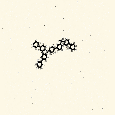 CC1(C)c2cc(-c3ccc(-n4c5ccc(-c6ccccc6)cc5c5cc(-c6ccccc6)ccc54)cc3)ccc2-c2c1ccc1c2sc2ccccc21